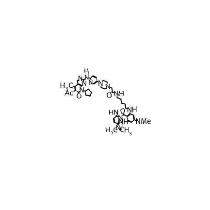 CNc1ccc(C(=O)NC(=N)/C=C\C(=N)N(C)C)c(NCCCCCNC(=O)CN2CCN(c3ccc(Nc4ncc5c(C)c(C(C)=O)c(=O)n(C6CCCC6)c5n4)nc3)CC2)c1